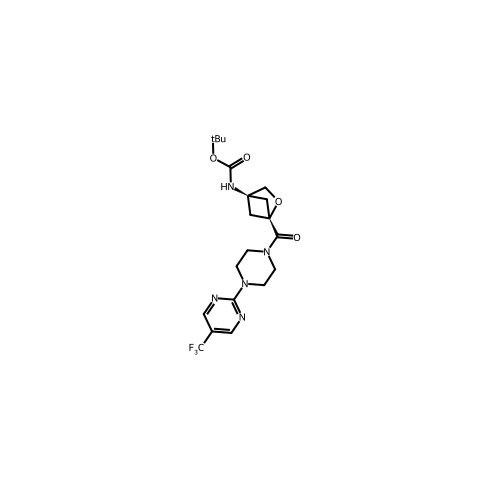 CC(C)(C)OC(=O)N[C@]12CO[C@](C(=O)N3CCN(c4ncc(C(F)(F)F)cn4)CC3)(C1)C2